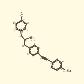 CCCCc1ccc(C#Cc2ccc(CC(N)Cc3ccc(Cl)cc3)cc2)cc1